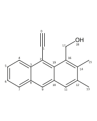 C#Cc1c2ccccc2cc2cc(C)c(C)c(CO)c12